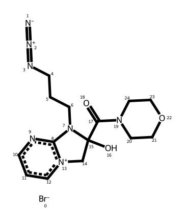 [Br-].[N-]=[N+]=NCCCN1c2nccc[n+]2CC1(O)C(=O)N1CCOCC1